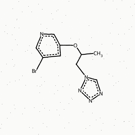 CC(Cn1cnnn1)Oc1cncc(Br)c1